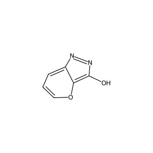 Oc1nnc2cccoc1-2